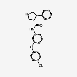 N#Cc1ccc(Oc2cccc(NC(=O)[C@@H]3CNC[C@H]3c3ccccc3)c2)cc1